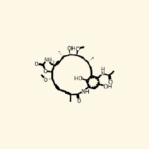 CO[C@H]1/C=C\C=C(/C)C(=O)Nc2cc(O)c(NC(C)=O)c(c2O)C[C@@H](C)C[C@H](OC)[C@H](O)[C@@H](C)/C=C(\C)[C@@H]1OC(N)=O